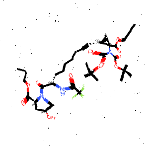 CCCOC(=O)[C@@H]1C[C@@H](O)CN1C(=O)[C@H](CCCCCC#C[C@@H]1C[C@@]1(C(=O)OCC)N(C(=O)OC(C)(C)C)C(=O)OC(C)(C)C)NC(=O)C(F)(F)F